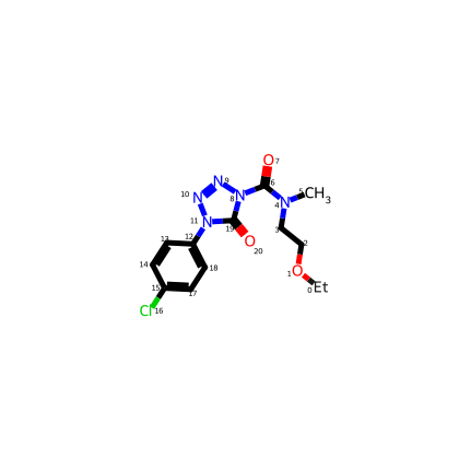 CCOCCN(C)C(=O)n1nnn(-c2ccc(Cl)cc2)c1=O